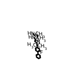 CN(C)C(=N)Nc1cc(C(C)(C)c2ccc(-c3ccccc3)c(F)c2)no1